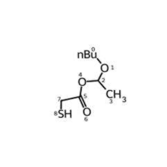 CCCCOC(C)OC(=O)CS